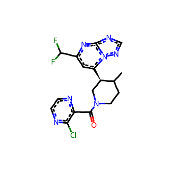 CC1CCN(C(=O)c2nccnc2Cl)C[C@H]1c1cc(C(F)F)nc2ncnn12